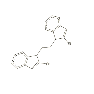 CCC1=Cc2ccccc2C1CCC1C(CC)=Cc2ccccc21